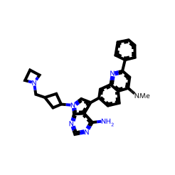 CNc1cc(-c2ccccc2)nc2cc(-c3cn(C4CC(CN5CCC5)C4)c4ncnc(N)c34)ccc12